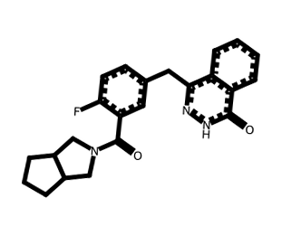 O=C(c1cc(Cc2n[nH]c(=O)c3ccccc23)ccc1F)N1CC2CCCC2C1